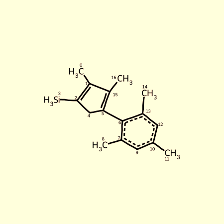 CC1=C([SiH3])CC(c2c(C)cc(C)cc2C)=C1C